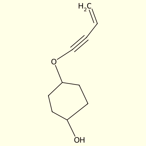 C=CC#COC1CCC(O)CC1